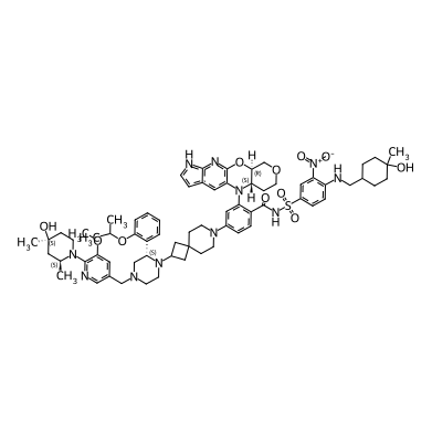 COc1cc(CN2CCN(C3CC4(CCN(c5ccc(C(=O)NS(=O)(=O)c6ccc(NCC7CCC(C)(O)CC7)c([N+](=O)[O-])c6)c(N6c7cc8cc[nH]c8nc7O[C@H]7COCC[C@@H]76)c5)CC4)C3)[C@@H](c3ccccc3OC(C)C)C2)cnc1N1CC[C@](C)(O)C[C@@H]1C